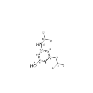 CC(C)Cc1cc(O)cc(NC(C)C)c1